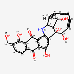 C[C@@H](O)[C@@]12OC13c1cc(O)c4c(c1N[C@H]2C#C/C=C\C#C[C@H]3O)C(=O)c1c(ccc(CO)c1O)C4=O